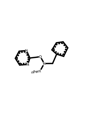 CCCCCN(Cc1ccccc1)Oc1ncccn1